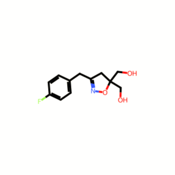 OCC1(CO)CC(Cc2ccc(F)cc2)=NO1